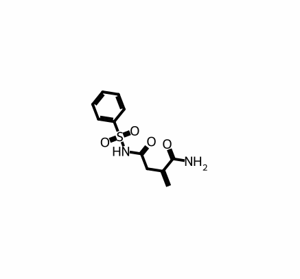 C=C(CC(=O)NS(=O)(=O)c1ccccc1)C(N)=O